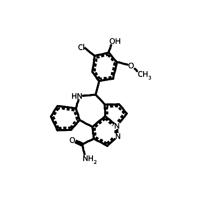 COc1cc(C2Nc3ccccc3-c3c(C(N)=O)cnn4ccc2c34)cc(Cl)c1O